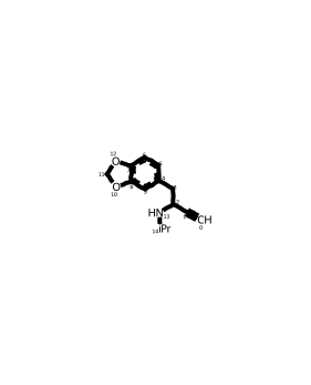 C#CC(Cc1ccc2c(c1)OCO2)NC(C)C